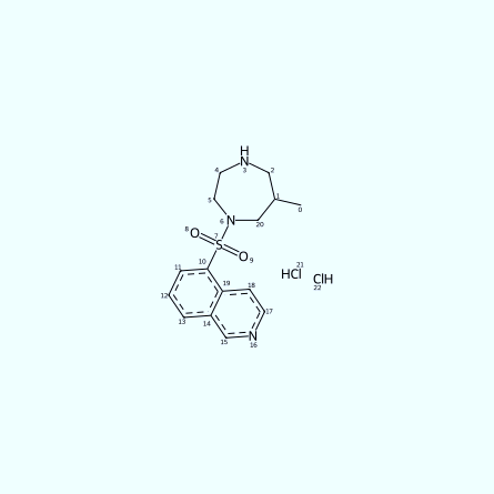 CC1CNCCN(S(=O)(=O)c2cccc3cnccc23)C1.Cl.Cl